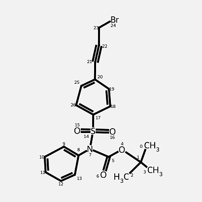 CC(C)(C)OC(=O)N(c1ccccc1)S(=O)(=O)c1ccc(C#CCBr)cc1